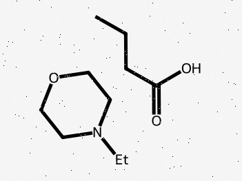 CCCC(=O)O.CCN1CCOCC1